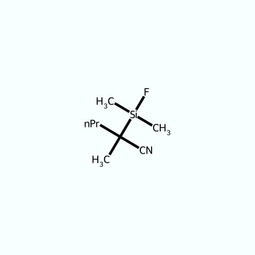 CCCC(C)(C#N)[Si](C)(C)F